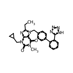 CCc1nc2c(c(=O)n(C)c(=O)n2CC2CC2)n1Cc1ccc(-c2ccccc2-c2nnn[nH]2)cc1